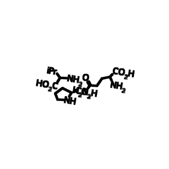 CC(C)C(N)C(=O)O.NC(=O)CCC(N)C(=O)O.O=C(O)[C@@H]1CCCN1